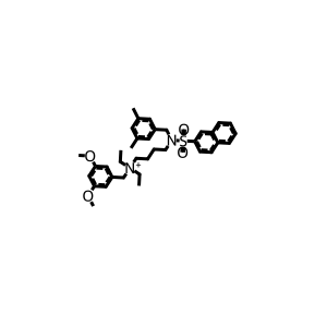 CC[N+](CC)(CCCCN(Cc1cc(C)cc(C)c1)S(=O)(=O)c1ccc2ccccc2c1)Cc1cc(OC)cc(OC)c1